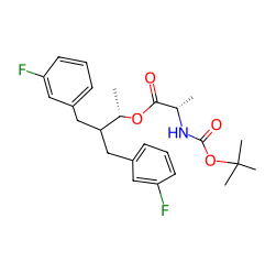 C[C@H](NC(=O)OC(C)(C)C)C(=O)O[C@@H](C)C(Cc1cccc(F)c1)Cc1cccc(F)c1